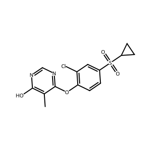 Cc1c(O)ncnc1Oc1ccc(S(=O)(=O)C2CC2)cc1Cl